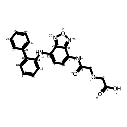 O=C(O)COCC(=O)Nc1ccc(Nc2ccccc2-c2ccccc2)c2nonc12